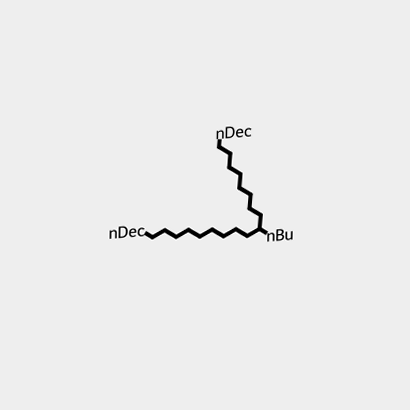 [CH2]CCCC(CCCCCCCCCCCCCCCCCC)CCCCCCCCCCCCCCCCCCC